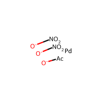 CC(=O)[O-].O=[N+]([O-])[O-].O=[N+]([O-])[O-].[Pd]